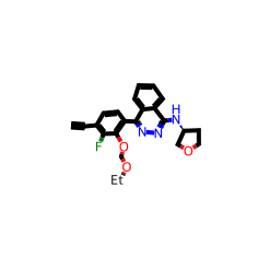 C#Cc1ccc(-c2nnc(N[C@@H]3CCOC3)c3ccccc23)c(OCOCC)c1F